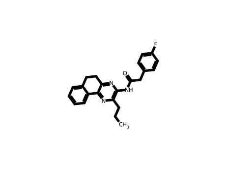 CCCc1nc2c(nc1NC(=O)Cc1ccc(F)cc1)CCc1ccccc1-2